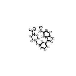 CC(=O)N1CCN(Cc2cccc(-c3cnc4ccc(C=O)cn34)c2)CC1